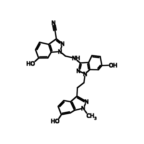 Cn1nc(CCn2nc(NCn3nc(C#N)c4ccc(O)cc43)c3ccc(O)cc32)c2ccc(O)cc21